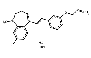 C=CCOc1cccc(C=CC2=NCCN(C)c3cc(Cl)ccc32)c1.Cl.Cl